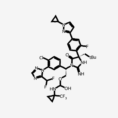 CC(C)(C)C[C@]1(c2ccc(-c3ccn(C4CC4)n3)cc2F)NC(=N)N([C@H](COC(O)NC2(C(F)(F)F)CC2)c2ccc(Cl)c(-n3ncnc3C(F)F)c2)C1=O